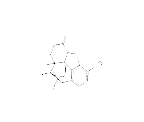 [C-]#[N+]c1ccc2c3c1OC1C(=O)CCC4(O)[C@@H](C2)N(C)CC[C@]314